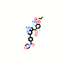 CCCS(=O)(=O)NC1=CC=C(F)C(C(O)c2c[nH]c3ncc(-c4ccc(C(=O)N5CCOCC5)cc4)cc23)C1F